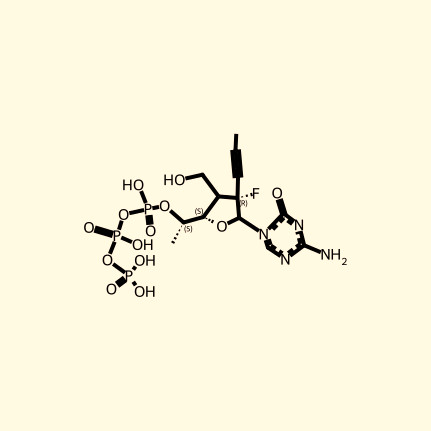 CC#C[C@]1(F)C(CO)[C@@H]([C@H](C)OP(=O)(O)OP(=O)(O)OP(=O)(O)O)OC1n1cnc(N)nc1=O